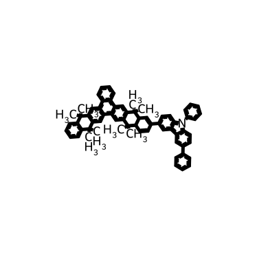 CC1(C)c2ccccc2C(C)(C)c2cc3c(cc21)c1ccccc1c1cc2c(cc31)C(C)(C)C1C=CC(c3ccc4c(c3)c3cc(-c5ccccc5)ccc3n4-c3ccccc3)=CC1C2(C)C